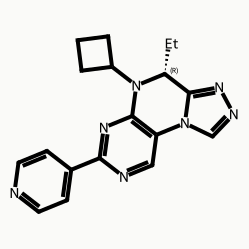 CC[C@@H]1c2nncn2-c2cnc(-c3ccncc3)nc2N1C1CCC1